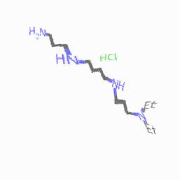 CCN(CC)CCCNCCCCNCCCN.Cl